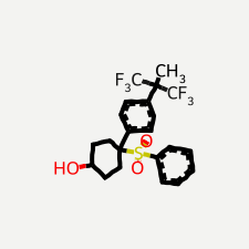 CC(c1ccc(C2(S(=O)(=O)c3ccccc3)CCC(O)CC2)cc1)(C(F)(F)F)C(F)(F)F